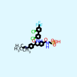 CC(C)(C)/C=C/c1ccc(C(Cc2ccc(C(=O)NCCS(=O)(=O)O)cc2)C(=O)Nc2ccc(-c3ccc(C(F)(F)F)cc3Cl)cc2Cl)cc1